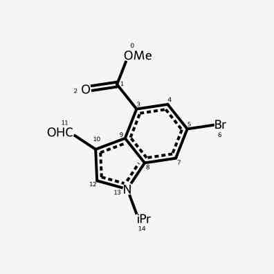 COC(=O)c1cc(Br)cc2c1c(C=O)cn2C(C)C